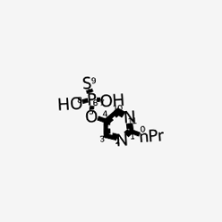 CCCc1ncc(OP(O)(O)=S)cn1